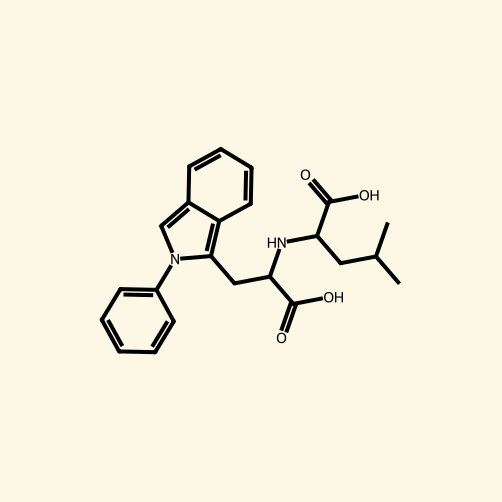 CC(C)CC(NC(Cc1c2ccccc2cn1-c1ccccc1)C(=O)O)C(=O)O